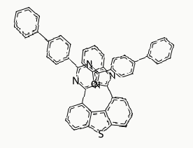 c1ccc(-c2ccc(-c3nc(-c4ccc(-c5ccccc5)cc4)nc(-c4cccc5sc6cccc(-c7nc8ccccc8o7)c6c45)n3)cc2)cc1